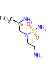 NCCN(C[C@H](N)C(=O)O)S(N)(=O)=O